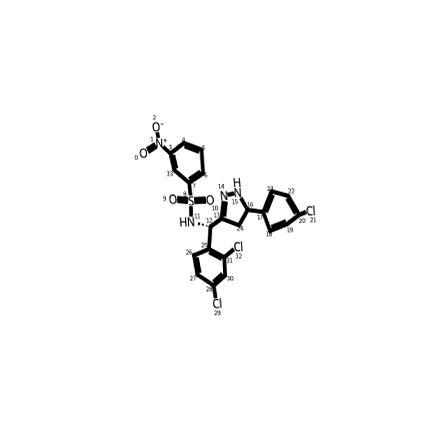 O=[N+]([O-])c1cccc(S(=O)(=O)N[C@H](C2=NNC(c3ccc(Cl)cc3)C2)c2ccc(Cl)cc2Cl)c1